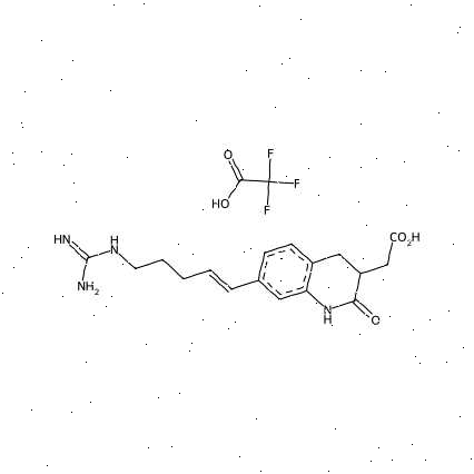 N=C(N)NCCCC=Cc1ccc2c(c1)NC(=O)C(CC(=O)O)C2.O=C(O)C(F)(F)F